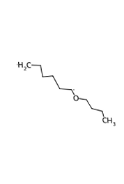 [CH2]CCCC[CH]OCCCC